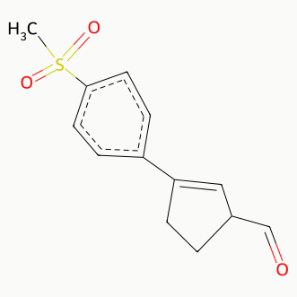 CS(=O)(=O)c1ccc(C2=CC(C=O)CC2)cc1